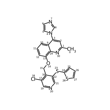 Cc1cc(-n2ccnc2)c2cccc(OCc3c(Cl)cncc3Sc3cccs3)c2n1